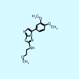 COCCNc1nn2c(-c3ccc(OC)c(OC)c3)cnc2s1